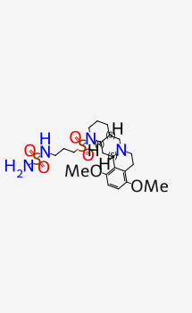 COc1ccc(OC)c2c1CCN1C[C@@H]3CCCN(S(=O)(=O)CCCNS(N)(=O)=O)[C@@H]3C[C@@H]21